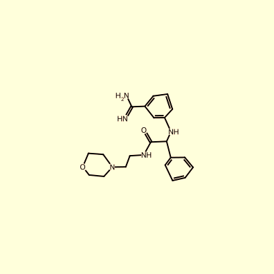 N=C(N)c1cccc(NC(C(=O)NCCN2CCOCC2)c2ccccc2)c1